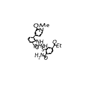 CCC(=O)c1ccc(C(N)=O)c(SNC(=O)Nc2c(-c3ccnc(OC)c3)cccc2C(C)C)c1